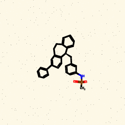 CS(=O)(=O)Nc1cccc(C[C@@H]2c3ccccc3CCc3cc(-c4ccccc4)ccc32)c1